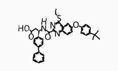 CCSc1nc(C(=O)NC(CC(=O)O)c2ccc(-c3ccccc3)cc2)nc2ccc(Oc3ccc(C(C)(C)C)cc3)cc12